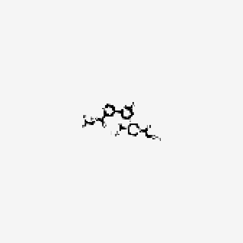 C=CC(=O)N1CCN(C(C)=O)[C@H](c2cc(Cl)nc(-c3ccnc(C(=O)NCC(F)F)c3)c2)C1